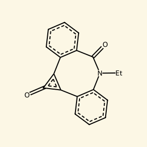 CCN1C(=O)c2ccccc2-c2c(c2=O)-c2ccccc21